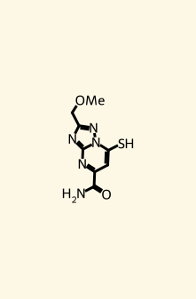 COCc1nc2nc(C(N)=O)cc(S)n2n1